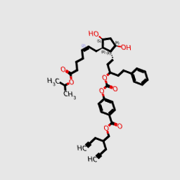 C#CCC(CC#C)COC(=O)c1ccc(OC(=O)OC(CCc2ccccc2)CC[C@@H]2[C@@H](C/C=C\CCCC(=O)OC(C)C)[C@@H](O)C[C@H]2O)cc1